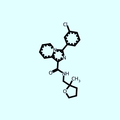 CC1(CNC(=O)c2nc(-c3cccc(Cl)c3)n3ccccc23)CCCO1